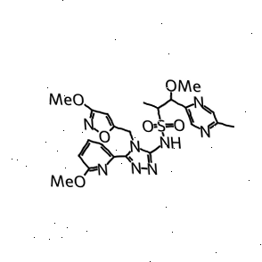 COc1cc(Cn2c(NS(=O)(=O)C(C)C(OC)c3cnc(C)cn3)nnc2-c2cccc(OC)n2)on1